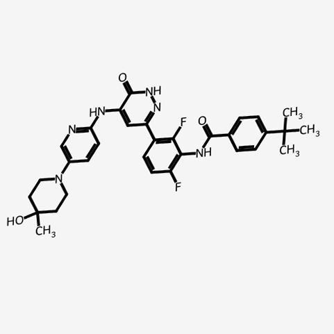 CC1(O)CCN(c2ccc(Nc3cc(-c4ccc(F)c(NC(=O)c5ccc(C(C)(C)C)cc5)c4F)n[nH]c3=O)nc2)CC1